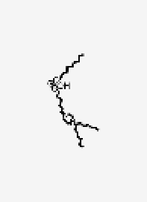 CCCCCCCCCOP(=O)(O)OCCCCCCN1CCN(C(CCCCCC)CCCCCC)CC1